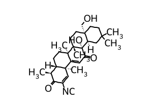 [C-]#[N+]C1=C[C@]2(C)C3=CC(=O)[C@]4(O)[C@@H]5CC(C)(C)CC[C@]5(CO)CC[C@@]4(C)[C@]3(C)CC[C@H]2[C@H](C)C1=O